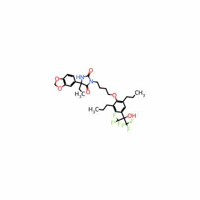 CCCc1cc(C(O)(C(F)(F)F)C(F)(F)F)cc(CCC)c1OCCCCN1C(=O)NC(CC)(c2ccc3c(c2)OCO3)C1=O